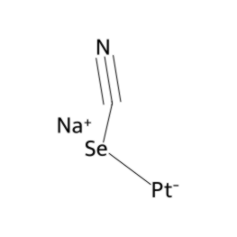 N#C[Se][Pt-].[Na+]